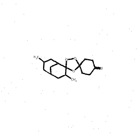 CC1CC2CC(C)C3(OOC4(CCC(=O)CC4)O3)C(C1)C2